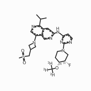 [2H]C([2H])([2H])O[C@@H]1CCN(c2nccc(Nc3cc4c(C(C)C)ncc(N5CC(CS(C)(=O)=O)C5)c4cn3)n2)C[C@@H]1F